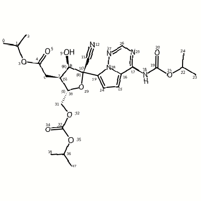 CC(C)OC(=O)C[C@H]1[C@@H](O)[C@](C#N)(c2ccc3c(NC(=O)OC(C)C)ncnn23)O[C@@H]1COC(=O)OC(C)C